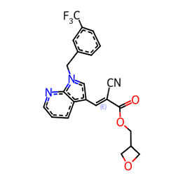 N#C/C(=C\c1cn(Cc2cccc(C(F)(F)F)c2)c2ncccc12)C(=O)OCC1COC1